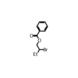 CCC(Br)COC(=O)c1ccccc1